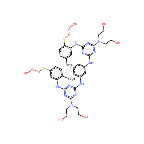 O=S(=O)(O)c1ccc(SOOO)c(Nc2nc(Nc3cccc(Nc4nc(Nc5cc(SOOO)ccc5S(=O)(=O)O)nc(N(CCO)CCO)n4)c3)nc(N(CCO)CCO)n2)c1